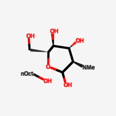 CCCCCCCCO.CN[C@H]1C(O)O[C@H](CO)[C@@H](O)[C@@H]1O